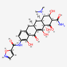 CN(C)[C@@H]1C(O)C(C(N)=O)C(=O)[C@@]2(O)C(O)=C3C(=O)c4c(ccc(NC(=O)c5ccno5)c4O)C[C@H]3C[C@@H]12